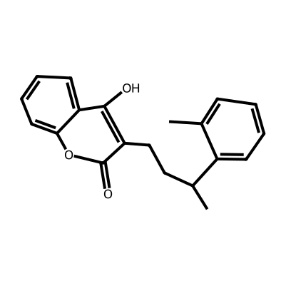 Cc1ccccc1C(C)CCc1c(O)c2ccccc2oc1=O